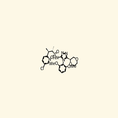 COc1cccc(OC)c1-n1c(NS(=O)(=O)[C@@H](C)[C@H](C)c2ccc(Cl)cn2)nnc1[C@H]1COCCO1